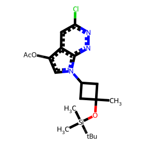 CC(=O)Oc1cn(C2CC(C)(O[Si](C)(C)C(C)(C)C)C2)c2nnc(Cl)cc12